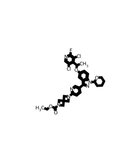 CCOC(=O)N1CC2(C1)CN(c1ccc(-c3nn(C4CCCCO4)c4ccc(OC(C)c5c(Cl)cnc(F)c5Cl)cc34)cn1)C2